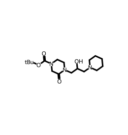 CC(C)(C)OC(=O)N1CCN(CC(O)CN2CCCCC2)C(=O)C1